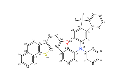 CC1(C)c2ccccc2-c2cc(N(c3ccccc3)c3cccc4c3oc3ccc5c6ccc7ccccc7c6sc5c34)ccc21